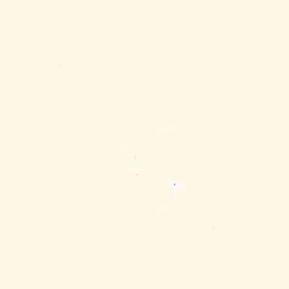 O=C(NCCC(C(=O)O)C(O)CCc1ccc(-c2ccccc2)cc1)c1ccc(F)cc1